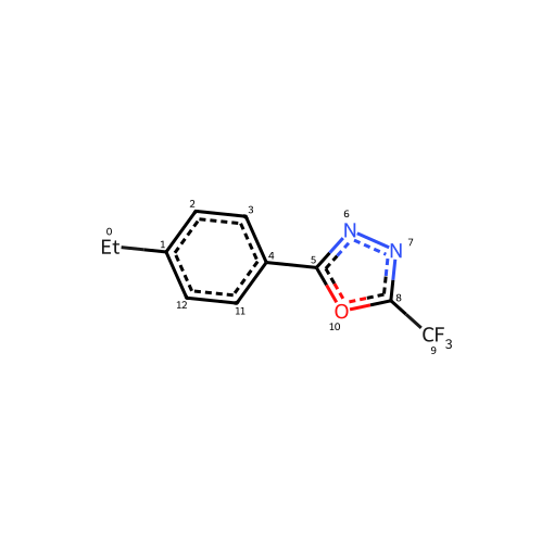 CCc1ccc(-c2nnc(C(F)(F)F)o2)cc1